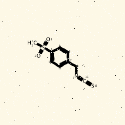 CS(=O)(=O)c1ccc(CN=C=S)cc1